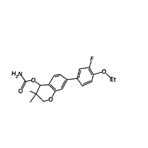 CCOc1ccc(-c2ccc3c(c2)OCC(C)(C)C3OC(N)=O)cc1F